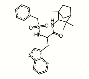 CC12CCC(C1)C(C)(C)C2NC(=O)C(Cc1csc2ccccc12)NS(=O)(=O)Cc1ccccc1